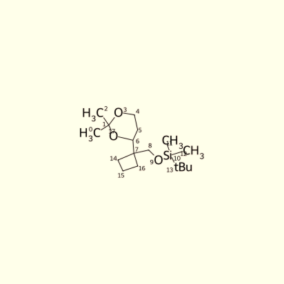 CC1(C)OCCC(C2(CO[Si](C)(C)C(C)(C)C)CCC2)O1